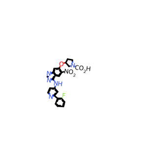 O=C(O)N1CCC(Oc2cc3ncnc(Nc4ccnc(-c5ccccc5F)c4)c3cc2[N+](=O)[O-])C1